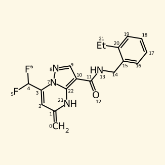 C=C1C=C(C(F)F)n2ncc(C(=O)NCc3ccccc3CC)c2N1